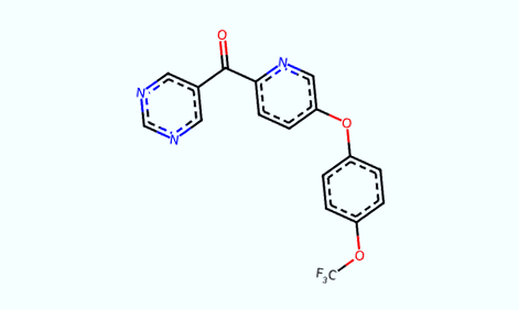 O=C(c1cncnc1)c1ccc(Oc2ccc(OC(F)(F)F)cc2)cn1